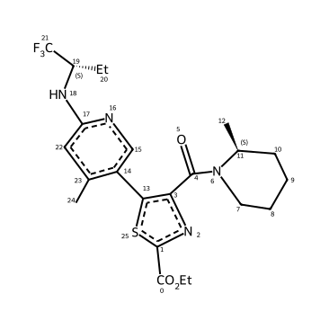 CCOC(=O)c1nc(C(=O)N2CCCC[C@@H]2C)c(-c2cnc(N[C@@H](CC)C(F)(F)F)cc2C)s1